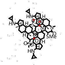 CSC1C(=O)N(C)C2CC[C@@H]3[C@@H](CC[C@]4(C)C(NC5CC5)CC[C@@H]34)[C@@]2(C)C1C12CC[C@@H]3[C@@H](CC[C@]4(C)C(NC5CC5)CC[C@@H]34)[C@@]1(C)C(C13CC[C@@H]4[C@@H](CC[C@]5(C)C(NC6CC6)CC[C@@H]45)[C@@]1(C)CC(S(C)(=O)=O)C(=O)N3C)C([S+](C)[O-])C(=O)N2C